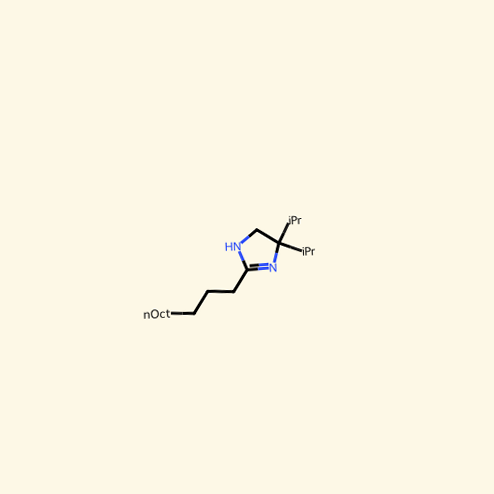 CCCCCCCCCCCC1=NC(C(C)C)(C(C)C)CN1